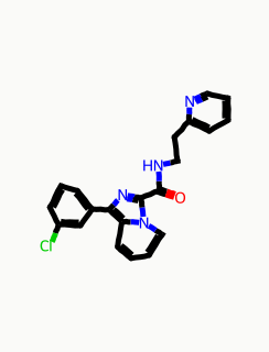 O=C(NCCc1ccccn1)c1nc(-c2cccc(Cl)c2)c2ccccn12